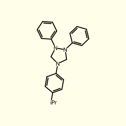 CC(C)c1ccc(N2CN(c3ccccc3)N(c3ccccc3)C2)cc1